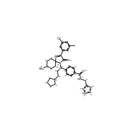 Cc1cc(Cl)cc(C2=NC3(CCC(C(C)(C)C)CC3)N([C@H](CCC3CCCC3)c3ccc(C(=O)NCc4nn[nH]n4)cc3)C2=O)c1